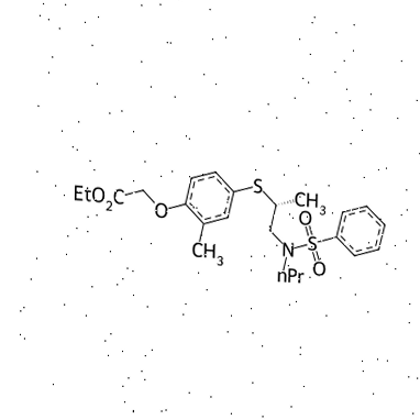 CCCN(C[C@@H](C)Sc1ccc(OCC(=O)OCC)c(C)c1)S(=O)(=O)c1ccccc1